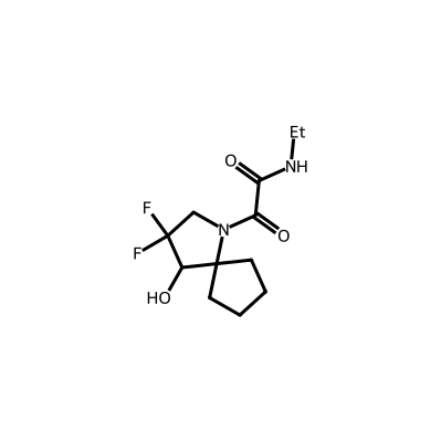 CCNC(=O)C(=O)N1CC(F)(F)C(O)C12CCCC2